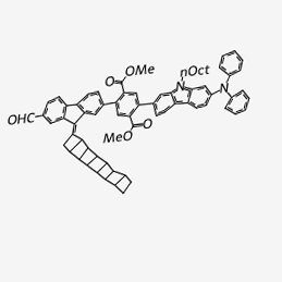 CCCCCCCCn1c2cc(-c3cc(C(=O)OC)c(-c4ccc5c(c4)/C(=C4/CC6C4C4C6C6C7C8C9CCC9C8C7C46)c4cc(C=O)ccc4-5)cc3C(=O)OC)ccc2c2ccc(N(c3ccccc3)c3ccccc3)cc21